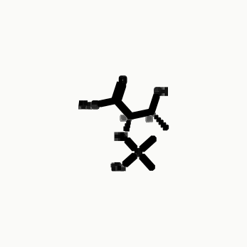 COC(=O)[C@@H](N[Si](C)(C)C(C)(C)C)[C@@H](C)O